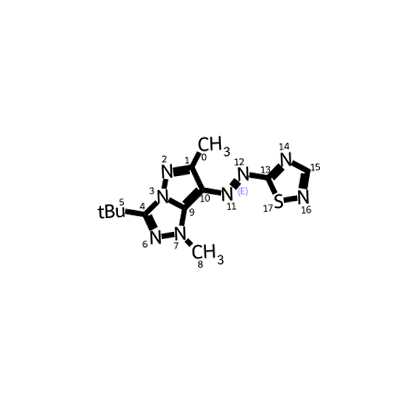 Cc1nn2c(C(C)(C)C)nn(C)c2c1/N=N/c1ncns1